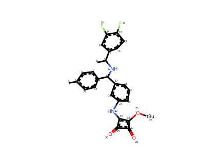 Cc1ccc(C(NC(C)c2ccc(F)c(F)c2)c2cccc(Nc3c(OC(C)(C)C)c(=O)c3=O)c2)cc1